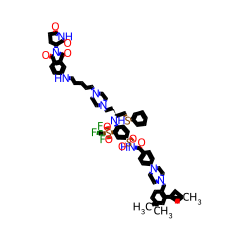 CC1(C)CCC(CN2CCN(c3ccc(C(=O)NS(=O)(=O)c4ccc(N[C@H](CCN5CCN(CCCCCNc6ccc7c(c6)C(=O)N(C6CCC(=O)NC6=O)C7=O)CC5)CSc5ccccc5)c(S(=O)(=O)C(F)(F)F)c4)cc3)CC2)=C(C23CC(C)(C2)C3)C1